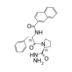 NNC(=O)[C@@H]1CCCN1C(=O)[C@H](Cc1ccccc1)NC(=O)c1ccc2ccccc2c1